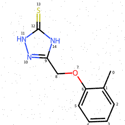 Cc1ccccc1OCc1n[nH]c(=S)[nH]1